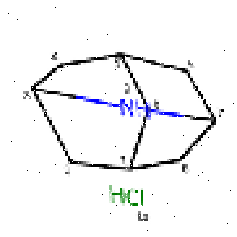 C1C2CC3CC1CC(C2)N3.Cl